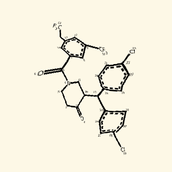 O=C1CCN(C(=O)c2cc(C(F)(F)F)cc(C(F)(F)F)c2)CC1C(c1ccc(Cl)cc1)c1ccc(Cl)cc1